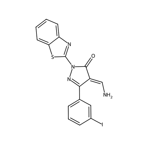 NC=C1C(=O)N(c2nc3ccccc3s2)N=C1c1cccc(I)c1